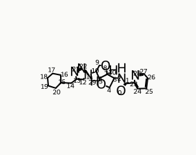 O=C(N[C@H]1CO[C@H]2[C@@H]1OC[C@@H]2N1CC(CC2CCCCC2)N=N1)c1ccccn1